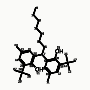 CCCCCCCC(c1cc(C)cc(C(C)(C)C)c1O)c1cc(C)cc(C(C)(C)C)c1O